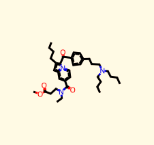 CCCCc1cc2cc(C(=O)N(CC)CCC(=O)OC)ccn2c1C(=O)c1ccc(CCCN(CCCC)CCCC)cc1